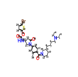 CCN(CC)CCCCC1CCCN(C(=O)c2ccc(N3CC(NC(=O)Oc4ccc(Br)s4)CC3=O)cc2C)C1